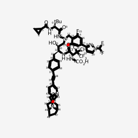 CC(C)(C)[C@H](NC(=O)C1CC1)C(=O)NN(Cc1c(F)cc(-c2ccn(C(F)F)n2)cc1F)C[C@H](O)[C@H](Cc1ccc(C#Cc2ccc(N3CC4CCC(C3)N4C3COC3)nc2)cc1)NC(=O)[C@@H](NC(=O)O)C(C)(C)C(F)(F)F